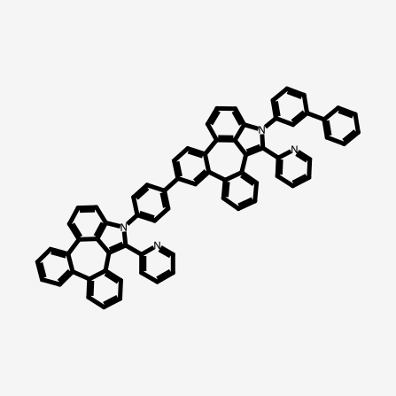 c1ccc(-c2cccc(-n3c(-c4ccccn4)c4c5c(cccc53)-c3ccc(-c5ccc(-n6c(-c7ccccn7)c7c8c(cccc86)-c6ccccc6-c6ccccc6-7)cc5)cc3-c3ccccc3-4)c2)cc1